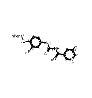 CCCCCOc1ccc(NC(=S)NC(=O)c2cncc(O)c2)cc1F